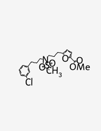 COC(=O)c1ccc(CCCN(CCCc2cccc(Cl)c2)S(C)(=O)=O)o1